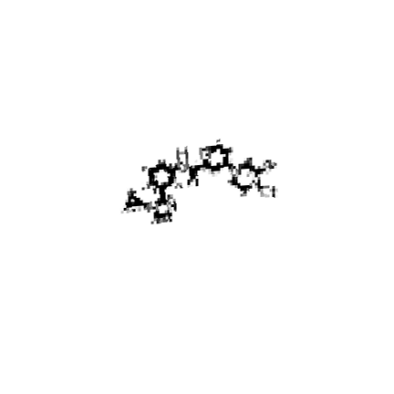 CCN1CCN(c2ccnc(C(=O)Nc3cccc(-c4nncn4C4CC4)c3)c2)CC1=O